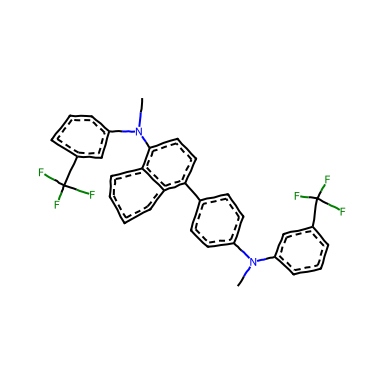 CN(c1ccc(-c2ccc(N(C)c3cccc(C(F)(F)F)c3)c3ccccc23)cc1)c1cccc(C(F)(F)F)c1